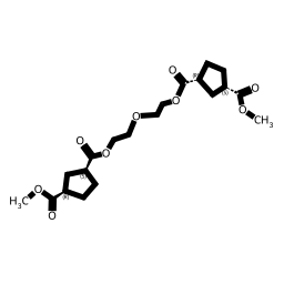 COC(=O)[C@@H]1CC[C@H](C(=O)OCCOCCOC(=O)[C@@H]2CC[C@H](C(=O)OC)C2)C1